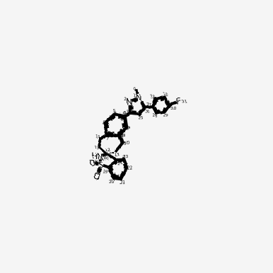 Cn1nc(-c2ccc3c(c2)CC[C@@]2(CC3)NS(=O)(=O)c3ccccc32)cc1-c1ccc(F)cc1